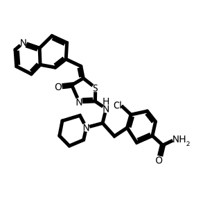 NC(=O)c1ccc(Cl)c(CC(NC2=NC(=O)C(=Cc3ccc4ncccc4c3)S2)N2CCCCC2)c1